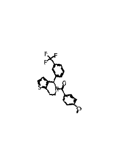 COc1ccc(C(=O)N2CCc3sccc3C2c2cccc(C(F)(F)F)c2)cc1